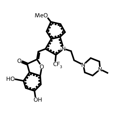 COc1ccc2c(c1)c(/C=C1\Oc3cc(O)cc(O)c3C1=O)c(C(F)(F)F)n2CCN1CCN(C)CC1